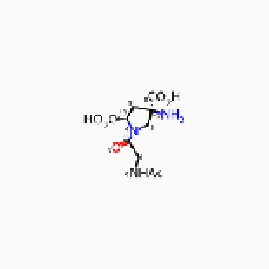 CC(=O)NCC(=O)N1C[C@@](N)(C(=O)O)C[C@@H]1C(=O)O